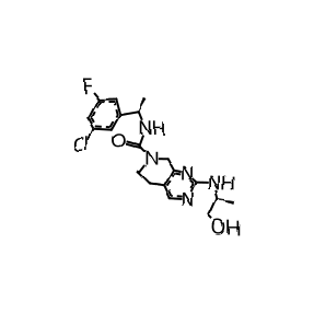 C[C@@H](CO)Nc1ncc2c(n1)CN(C(=O)N[C@H](C)c1cc(F)cc(Cl)c1)CC2